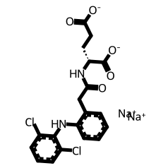 O=C([O-])CC[C@@H](NC(=O)Cc1ccccc1Nc1c(Cl)cccc1Cl)C(=O)[O-].[Na+].[Na+]